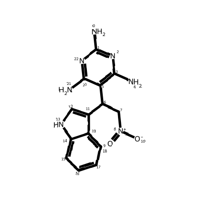 Nc1nc(N)c(C(C[N+](=O)[O-])c2c[nH]c3ccccc23)c(N)n1